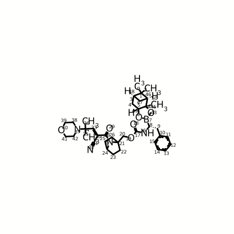 CC1(C)[C@@H]2C[C@H]3OB([C@H](Cc4ccccc4)NC(=O)OCC45CCC(CC4)N5C(=O)C(C#N)=CC(C)(C)N4CCOCC4)O[C@@]3(C)[C@H]1C2